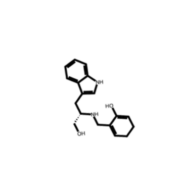 OC[C@H](Cc1c[nH]c2ccccc12)NCC1=CCCC=C1O